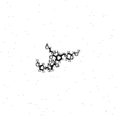 COCCNC(=O)c1cc(CN2CCO[C@@H](COC)C2)ccc1NC(=O)c1csc(N2CC[C@H](OC)C2)n1